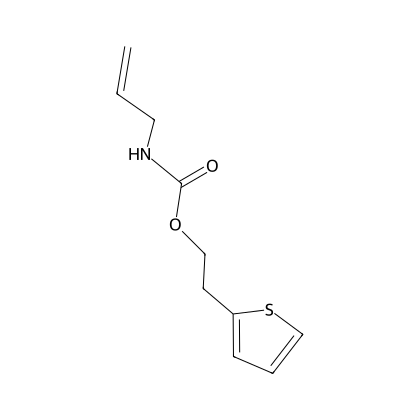 C=CCNC(=O)OCCc1cccs1